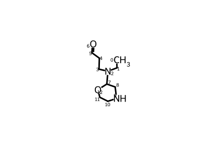 CCN(CCC=O)C1CNCCO1